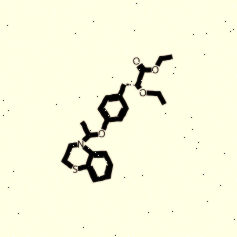 CCOC(=O)[C@@H](Cc1ccc(OC(C)N2CCSc3ccccc32)cc1)OCC